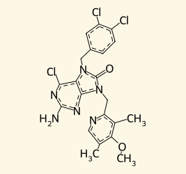 COc1c(C)cnc(Cn2c(=O)n(Cc3ccc(Cl)c(Cl)c3)c3c(Cl)nc(N)nc32)c1C